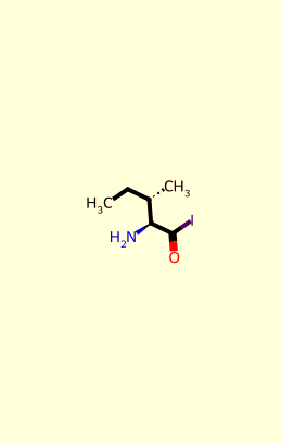 CC[C@H](C)[C@H](N)C(=O)I